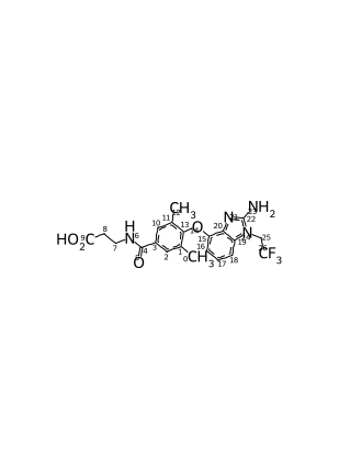 Cc1cc(C(=O)NCCC(=O)O)cc(C)c1Oc1cccc2c1nc(N)n2CC(F)(F)F